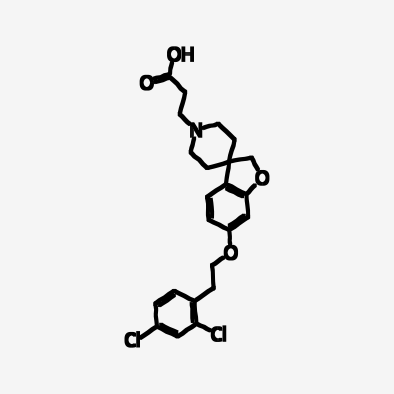 O=C(O)CCN1CCC2(CC1)COc1cc(OCCc3ccc(Cl)cc3Cl)ccc12